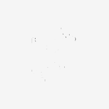 COC(=O)C(C)(C)C(=O)c1cc(Br)cc([N+](=O)[O-])c1